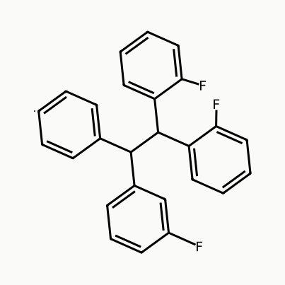 Fc1cccc(C(c2cc[c]cc2)C(c2ccccc2F)c2ccccc2F)c1